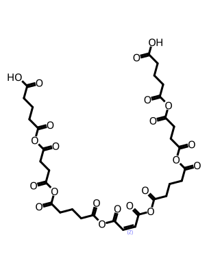 O=C(O)CCCC(=O)OC(=O)CCC(=O)OC(=O)CCCC(=O)OC(=O)/C=C\C(=O)OC(=O)CCCC(=O)OC(=O)CCC(=O)OC(=O)CCCC(=O)O